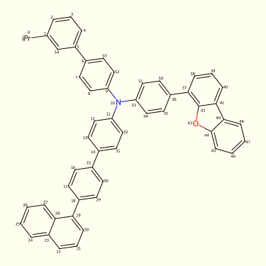 CC(C)c1cccc(-c2ccc(N(c3ccc(-c4ccc(-c5cccc6ccccc56)cc4)cc3)c3ccc(-c4cccc5c4oc4ccccc45)cc3)cc2)c1